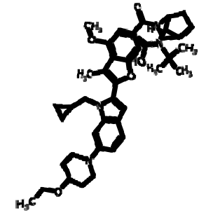 CCOC1CCN(c2ccc3cc(-c4oc5cc(C(=O)N6CC7CCC6[C@@H]7N(C(=O)O)C(C)(C)C)cc(OC)c5c4C)n(CC4CC4)c3c2)CC1